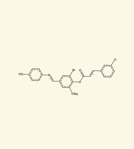 COc1cc(/C=N/c2ccc(O)cc2)cc(Br)c1OC(=O)/C=C/c1cccc(Cl)c1